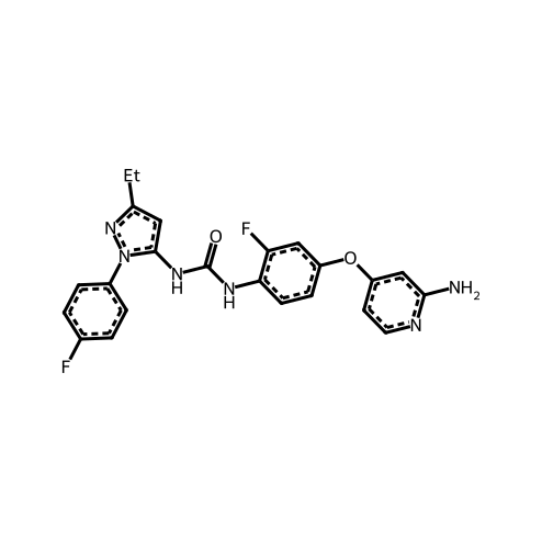 CCc1cc(NC(=O)Nc2ccc(Oc3ccnc(N)c3)cc2F)n(-c2ccc(F)cc2)n1